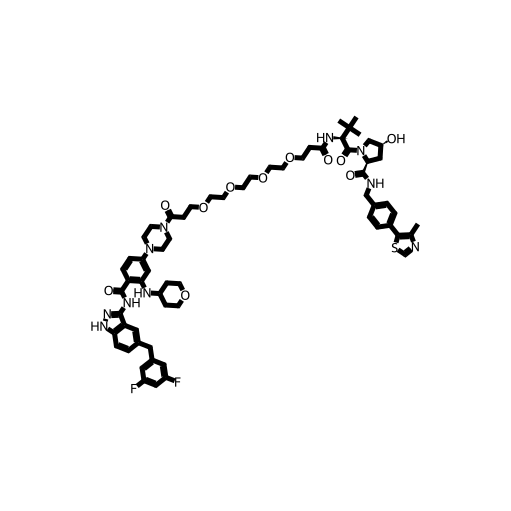 Cc1ncsc1-c1ccc(CNC(=O)[C@@H]2C[C@@H](O)CN2C(=O)[C@@H](NC(=O)CCOCCOCCOCCOCCC(=O)N2CCN(c3ccc(C(=O)Nc4n[nH]c5ccc(Cc6cc(F)cc(F)c6)cc45)c(NC4CCOCC4)c3)CC2)C(C)(C)C)cc1